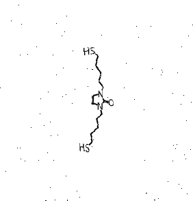 O=C1N(CCCCCS)CCN1CCCCCS